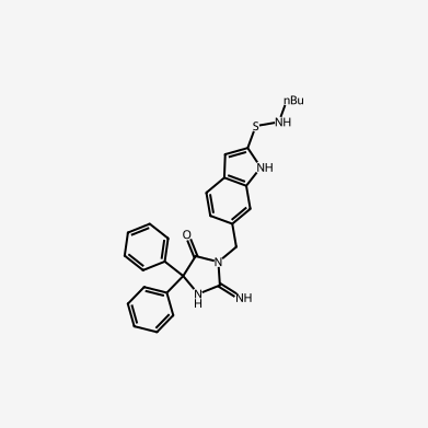 CCCCNSc1cc2ccc(CN3C(=N)NC(c4ccccc4)(c4ccccc4)C3=O)cc2[nH]1